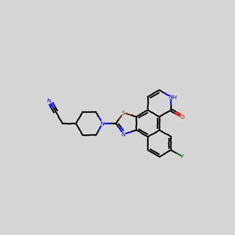 N#CCC1CCN(c2nc3c4ccc(F)cc4c4c(=O)[nH]ccc4c3s2)CC1